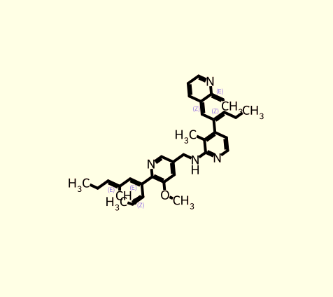 C\C=C/C(=C\C(C)=C\CC)c1ncc(CNc2nccc(C(=C\CC)/C=c3/cccn/c3=C/C)c2C)cc1OC